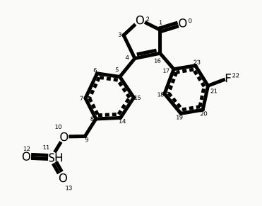 O=C1OCC(c2ccc(CO[SH](=O)=O)cc2)=C1c1cccc(F)c1